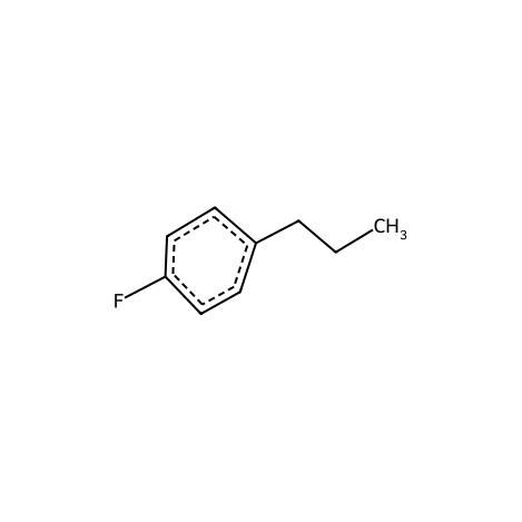 CCCc1ccc(F)cc1